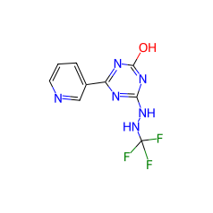 Oc1nc(NNC(F)(F)F)nc(-c2cccnc2)n1